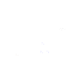 COc1cccc(-c2nnc(-c3cc(Br)cc(Br)c3)n2-c2ccccc2)c1